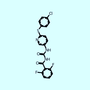 O=C(NC(=O)c1c(F)cccc1F)Nc1ccc(Sc2ccc(Cl)cc2)nc1